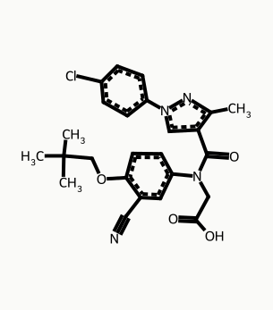 Cc1nn(-c2ccc(Cl)cc2)cc1C(=O)N(CC(=O)O)c1ccc(OCC(C)(C)C)c(C#N)c1